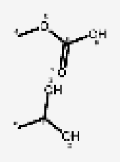 CC(O)O.COC(=O)O